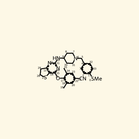 CSc1ccc(CN2CCC(Nc3nc4c(c(Oc5c(C)cc(C#N)cc5C)n3)SCC4)CC2)cc1